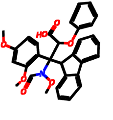 COc1ccc(C(C(Oc2ccccc2)C(=O)O)(C2c3ccccc3-c3ccccc32)N(C=O)OC)c(OC)c1